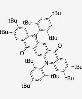 CC(C)(C)c1cc(C(C)(C)C)c(-n2c3cc(C(C)(C)C)c(C(C)(C)C)cc3c(=O)c3cc4c(cc32)c(=O)c2cc(C(C)(C)C)c(C(C)(C)C)cc2n4-c2c(C(C)(C)C)cc(C(C)(C)C)cc2C(C)(C)C)c(C(C)(C)C)c1